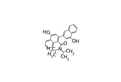 CC(C)N(C(=O)c1c(-c2cc(O)c3ccccc3c2)cc(O)c2ccccc12)C(C)C